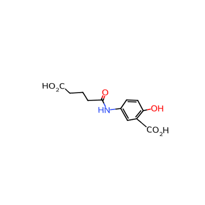 O=C(O)CCCC(=O)Nc1ccc(O)c(C(=O)O)c1